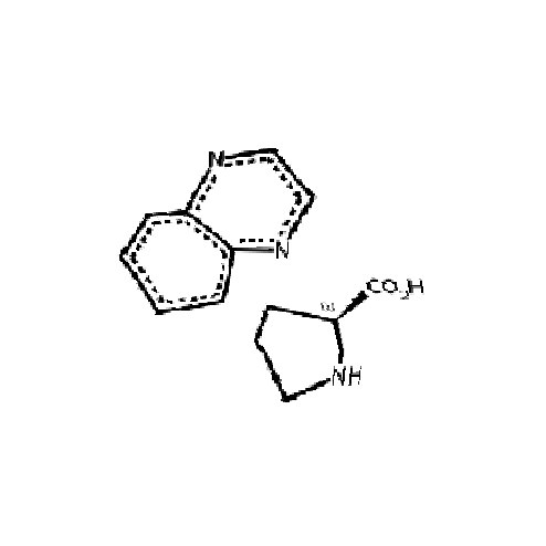 O=C(O)[C@@H]1CCCN1.c1ccc2nccnc2c1